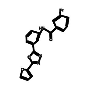 CC(C)c1cccc(C(=O)Nc2cccc(-c3nnc(-c4ccco4)o3)c2)c1